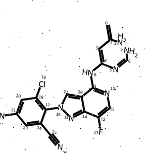 C=C(N)/C=C(\N=C/N)Nc1ncc(F)c2nn(-c3c(Cl)cc(N)cc3C#N)cc12